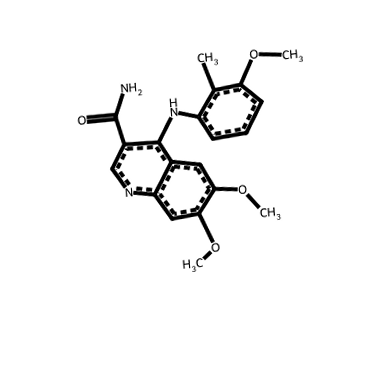 COc1cc2ncc(C(N)=O)c(Nc3cccc(OC)c3C)c2cc1OC